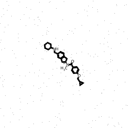 CN(C(=O)c1ccc(OCC2CC2)cc1)[C@@H]1Cc2ccc(CNC3CCCCC3)cc2C1